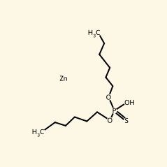 CCCCCCOP(O)(=S)OCCCCCC.[Zn]